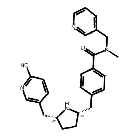 CN(Cc1cccnc1)C(=O)c1ccc(C[C@@H]2CC[C@H](Cc3ccc(C#N)nc3)N2)cc1